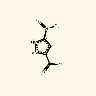 O=C(Cl)c1cc([N+](=O)[O-])[nH]n1